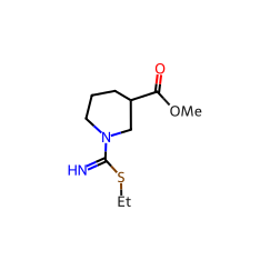 CCSC(=N)N1CCCC(C(=O)OC)C1